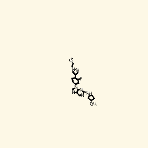 COCCn1cc(-c2ccc(-n3cnc4cnc(N[C@@H]5CC[C@@H](O)C5)nc43)cc2F)cn1